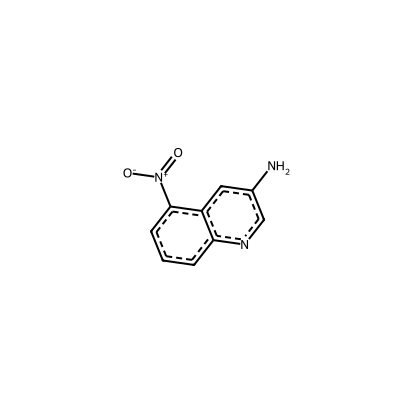 Nc1cnc2cccc([N+](=O)[O-])c2c1